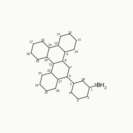 BC1CCCC(C2CC3C4CCCCC4C4CCCCC4C3C3CCCCC23)C1